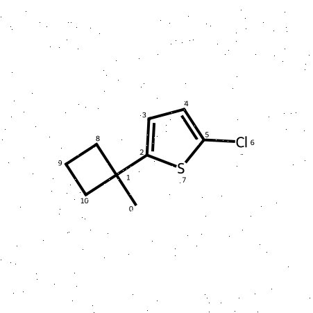 CC1(c2ccc(Cl)s2)CCC1